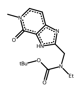 CCN(Cc1nc2ccn(C)c(=O)c2[nH]1)C(=O)OC(C)(C)C